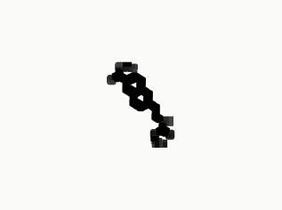 COC(=O)c1ccc2cc(CCNC(=O)OC(C)(C)C)ccc2c1